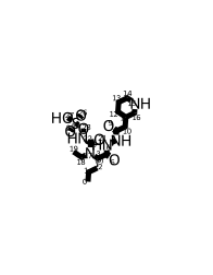 CCC[C@@H](C(=O)NNC(=O)CC1CCCNC1)N(CC)C(=O)NOS(=O)(=O)O